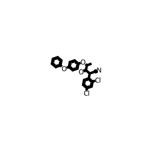 CC(Oc1ccc(Oc2ccccc2)cc1)C(=O)C(C#N)c1ccc(Cl)cc1Cl